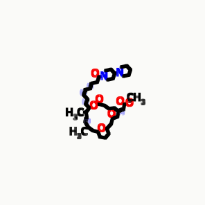 COC(=O)/C=C1\CC2CC(=O)OC(/C=C/C=C\C=C\CC(=O)N3CCC(N4CCCCC4)CC3)C(C)/C=C/C(C)CC3CCCC(CC(C1)O2)O3